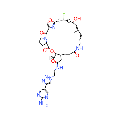 CC1=C\C(O)CC(F)Cc2nc(co2)C(=O)N2CCCC2C(=O)OC(C(C)C)C(CC(=O)NCCn2cc(-c3cnc(N)nc3)nn2)/C=C/C(=O)NC\C=C\1